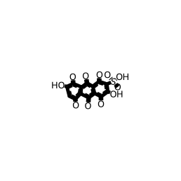 O=c1cc(O)c(=O)c2c(=O)c3c(=O)c(S(=O)(=O)O)c(O)c(=O)c3c(=O)c12